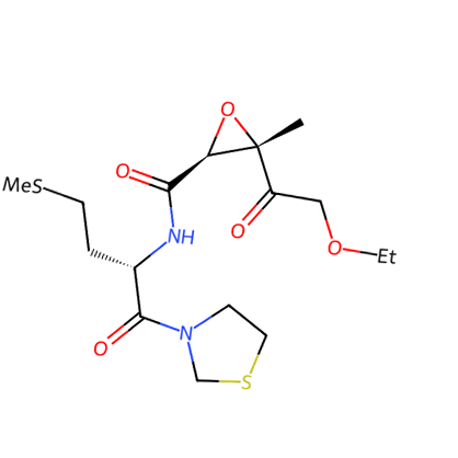 CCOCC(=O)[C@@]1(C)O[C@@H]1C(=O)N[C@@H](CCSC)C(=O)N1CCSC1